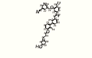 Cc1c(C=C(F)c2ccc(C=O)c(OCc3cncc(C#N)c3)c2)cccc1-c1cccc(OCCCN2CCC(O)C2)c1C